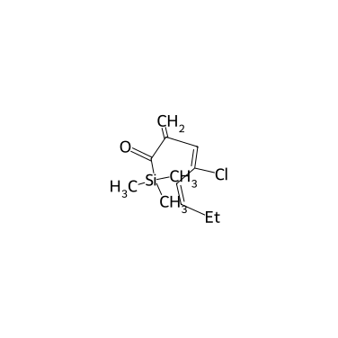 C=C(/C=C(Cl)\C=C/CC)C(=O)[Si](C)(C)C